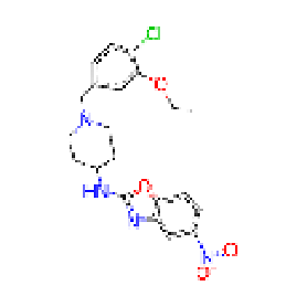 CCOc1cc(CN2CCC(Nc3nc4cc([N+](=O)[O-])ccc4o3)CC2)ccc1Cl